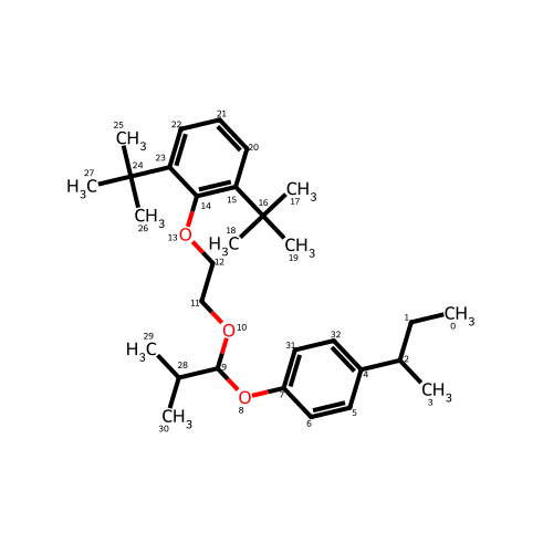 CCC(C)c1ccc(OC(OCCOc2c(C(C)(C)C)cccc2C(C)(C)C)C(C)C)cc1